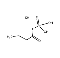 CCCC(=O)OP(=O)(O)O.[KH]